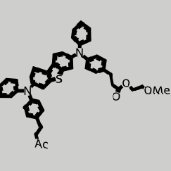 COCCOC(=O)CCc1ccc(N(c2ccccc2)c2ccc3c(c2)sc2cc(N(c4ccccc4)c4ccc(CCC(C)=O)cc4)ccc23)cc1